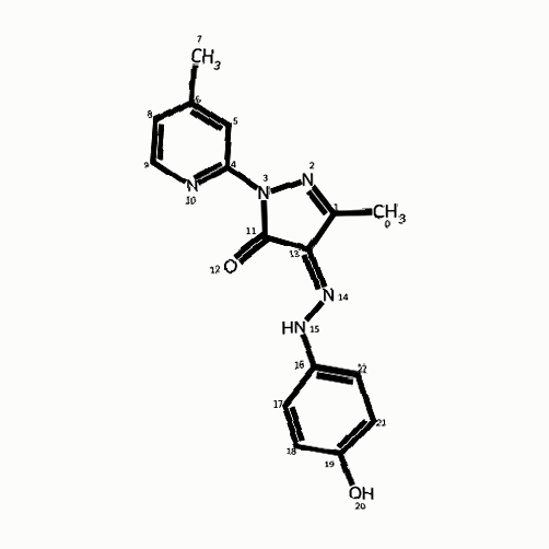 CC1=NN(c2cc(C)ccn2)C(=O)C1=NNc1ccc(O)cc1